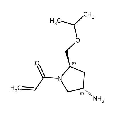 C=CC(=O)N1C[C@@H](N)C[C@@H]1COC(C)C